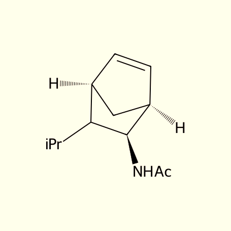 CC(=O)N[C@H]1C(C(C)C)[C@H]2C=C[C@@H]1C2